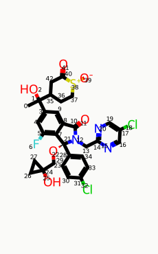 CC(O)(c1cc(F)c2c(c1)C(=O)N(Cc1ncc(Cl)cn1)[C@@]2(OCC1(O)CC1)c1ccc(Cl)cc1)C1CC[S+]([O-])C(=O)C1